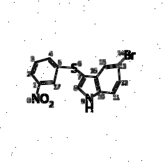 O=[N+]([O-])c1cccc(Sc2c[nH]c3ccc(Br)cc23)c1